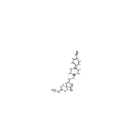 CSN1CCC2(CC1)CC(CCN1CCN(c3ccc(C#N)cc3)CC1)OC2=O